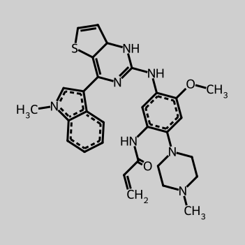 C=CC(=O)Nc1cc(NC2=NC(c3cn(C)c4ccccc34)=C3SC=CC3N2)c(OC)cc1N1CCN(C)CC1